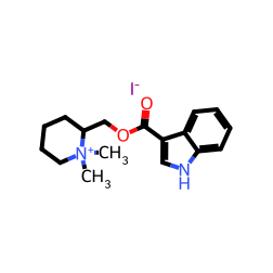 C[N+]1(C)CCCCC1COC(=O)c1c[nH]c2ccccc12.[I-]